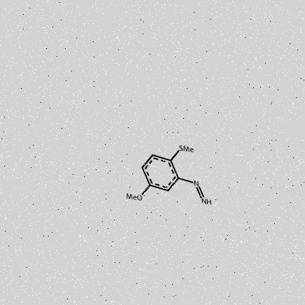 COc1ccc(SC)c(N=N)c1